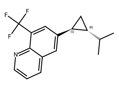 CC(C)[C@H]1C[C@@H]1c1cc(C(F)(F)F)c2ncccc2c1